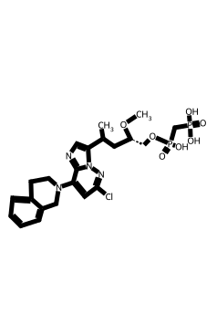 CO[C@H](COP(=O)(O)CP(=O)(O)O)CC(C)c1cnc2c(N3CCc4ccccc4C3)cc(Cl)nn12